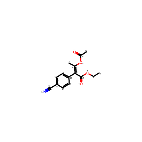 CCOC(=O)/C(=C(/C)OC(C)=O)c1ccc(C#N)cc1